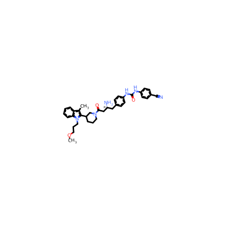 COCCCn1c(C2CCCN(C(=O)C[C@H](N)Cc3ccc(NC(=O)Nc4ccc(C#N)cc4)cc3)C2)c(C)c2ccccc21